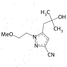 COCCn1nc(C#N)cc1CC(C)(C)O